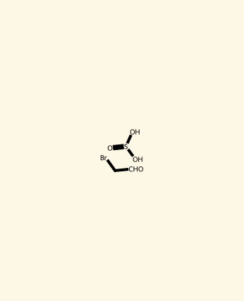 O=CCBr.O=S(O)O